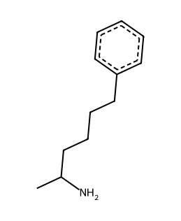 CC(N)CCCCc1ccccc1